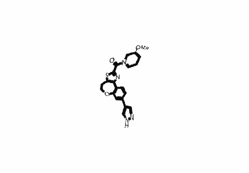 CO[C@@H]1CCCN(C(=O)c2nc3c(s2)CCOc2cc(-c4cn[nH]c4)ccc2-3)C1